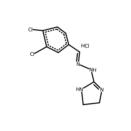 Cl.Clc1ccc(C=NNC2=NCCN2)cc1Cl